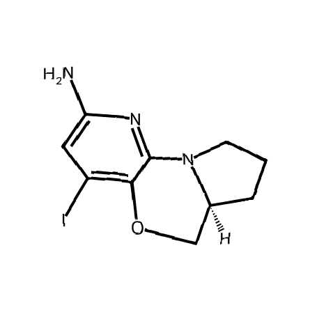 Nc1cc(I)c2c(n1)N1CCC[C@H]1CO2